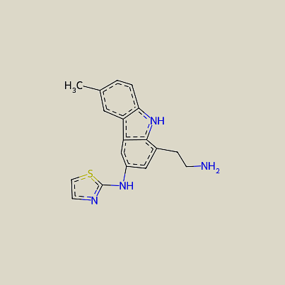 Cc1ccc2[nH]c3c(CCN)cc(Nc4nccs4)cc3c2c1